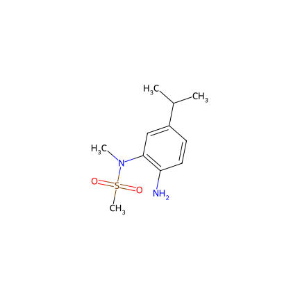 CC(C)c1ccc(N)c(N(C)S(C)(=O)=O)c1